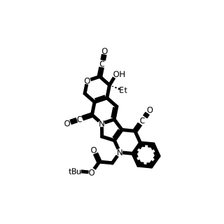 CC[C@@]1(O)C(=C=O)OCC2=C1C=C1C3=C(CN1C2=C=O)N(CC(=O)OC(C)(C)C)c1ccccc1C3=C=O